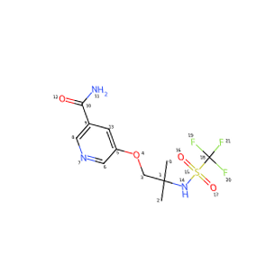 CC(C)(COc1cncc(C(N)=O)c1)NS(=O)(=O)C(F)(F)F